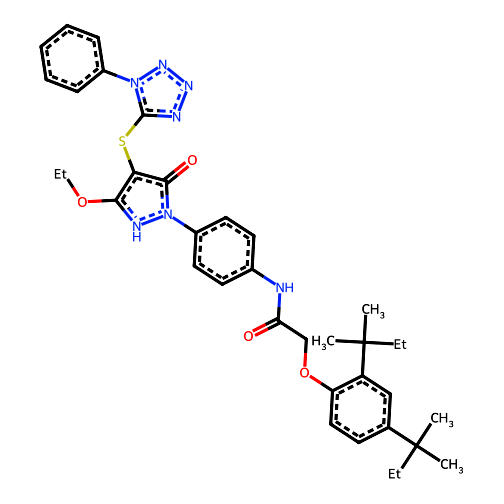 CCOc1[nH]n(-c2ccc(NC(=O)COc3ccc(C(C)(C)CC)cc3C(C)(C)CC)cc2)c(=O)c1Sc1nnnn1-c1ccccc1